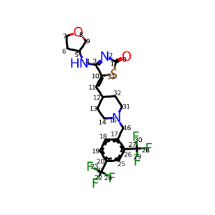 O=C1N=C(NC2CCOC2)C(=CC2CCN(Cc3ccc(C(F)(F)F)cc3C(F)(F)F)CC2)S1